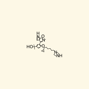 Cn1cc(-c2cc(C(C)(C)O)ccc2OC(CCCCCN2CCNCC2)C2CC2)c2cc[nH]c2c1=O